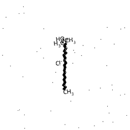 CCCCCCCCCCCCCCCCCCCCC[N+](C)(C)O.[Cl-]